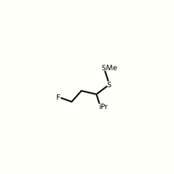 CSSC(CCF)C(C)C